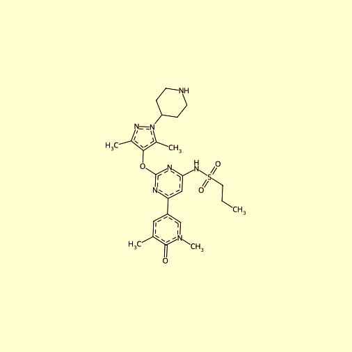 CCCS(=O)(=O)Nc1cc(-c2cc(C)c(=O)n(C)c2)nc(Oc2c(C)nn(C3CCNCC3)c2C)n1